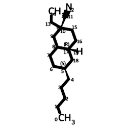 CCCCC[C@H]1CCC2C[C@](C#N)(CC)CC[C@@H]2C1